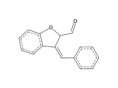 O=CC1Oc2ccccc2C1=Cc1ccccc1